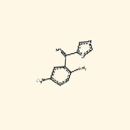 N=C(c1cnco1)c1cc([N+](=O)[O-])ccc1N